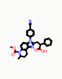 COC(=O)N1c2ccc3c(nc(CC(C(=O)O)c4ccccc4)n3-c3ccc(C#N)cc3)c2CCC1C